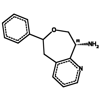 N[C@H]1COC(c2ccccc2)Cc2cccnc21